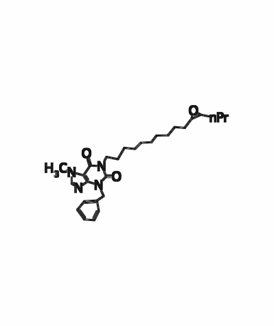 CCCC1OC1CCCCCCCCCCn1c(=O)c2c(ncn2C)n(Cc2ccccc2)c1=O